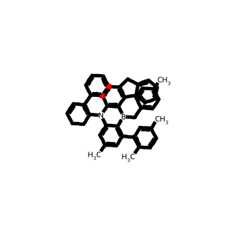 Cc1ccc(CB2c3c(-c4cc(C)ccc4C)cc(C)cc3N(C3=C(c4ccccc4)C=CCC3)c3ccc4c(c32)-c2ccccc2C4)cc1